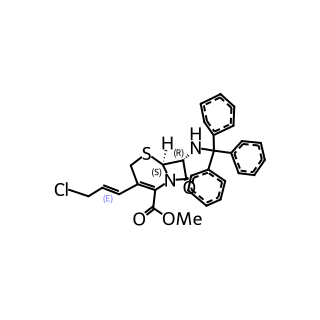 COC(=O)C1=C(/C=C/CCl)CS[C@H]2[C@H](NC(c3ccccc3)(c3ccccc3)c3ccccc3)C(=O)N12